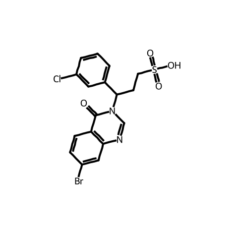 O=c1c2ccc(Br)cc2ncn1C(CCS(=O)(=O)O)c1cccc(Cl)c1